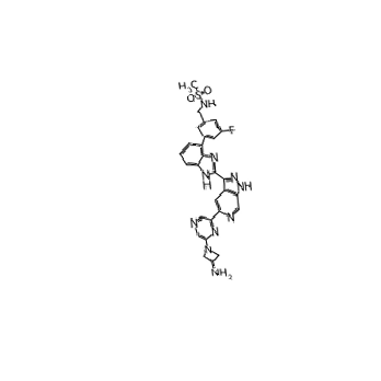 CS(=O)(=O)NCc1cc(F)cc(-c2cccc3[nH]c(-c4n[nH]c5cnc(-c6cncc(N7CC(N)C7)n6)cc45)nc23)c1